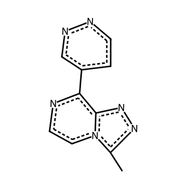 Cc1nnc2c(-c3ccnnc3)nccn12